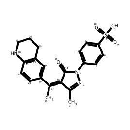 CC1=NN(c2ccc(S(=O)(=O)O)cc2)C(=O)C1=C(C)c1ccc2c(c1)CCCN2